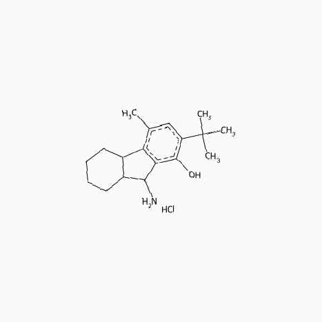 Cc1cc(C(C)(C)C)c(O)c2c1C1CCCCC1C2N.Cl